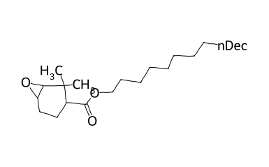 CCCCCCCCCCCCCCCCCCOC(=O)C1CCC2OC2C1(C)C